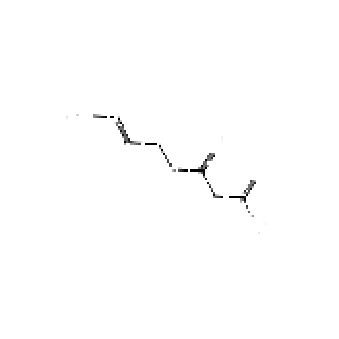 CCCCC/C=C/CCC(=O)CC(=O)OC